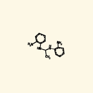 CC(Nc1ccccc1N)Nc1ccccc1N